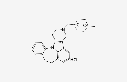 CC12CCC(CN3CCc4c(c5cccc6c5n4-c4ccccc4CC6)C3)(CC1)CC2.Cl